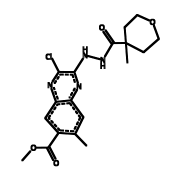 COC(=O)c1cc2nc(Cl)c(NNC(=O)C3(C)CCOCC3)nc2cc1C